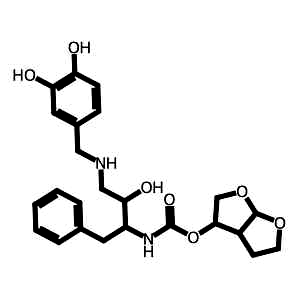 O=C(NC(Cc1ccccc1)C(O)CNCc1ccc(O)c(O)c1)OC1COC2OCCC12